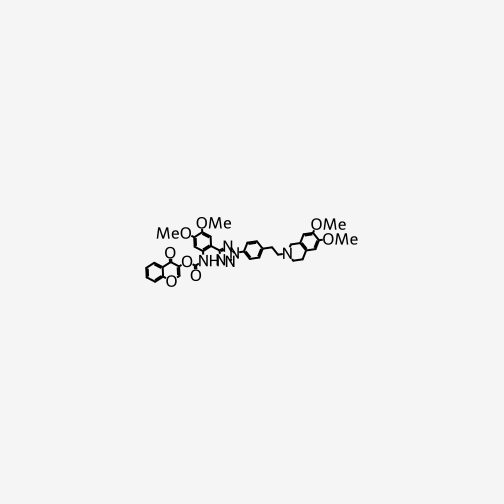 COc1cc2c(cc1OC)CN(CCc1ccc(-n3nnc(-c4cc(OC)c(OC)cc4NC(=O)Oc4coc5ccccc5c4=O)n3)cc1)CC2